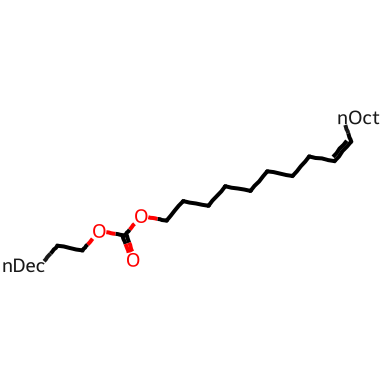 CCCCCCCC/C=C\CCCCCCCCOC(=O)OCCCCCCCCCCCC